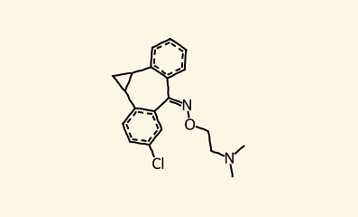 CN(C)CCON=C1c2ccccc2C2CC2c2ccc(Cl)cc21